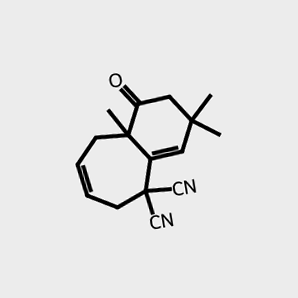 CC1(C)C=C2C(C#N)(C#N)CC=CCC2(C)C(=O)C1